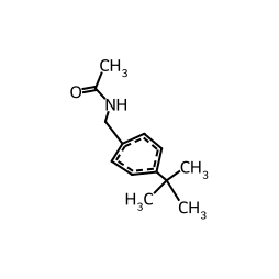 CC(=O)NCc1ccc(C(C)(C)C)cc1